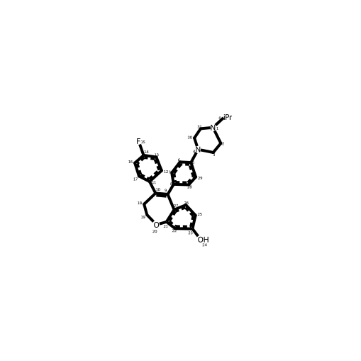 CC(C)N1CCN(c2ccc(C3=C(c4ccc(F)cc4)CCOc4cc(O)ccc43)cc2)CC1